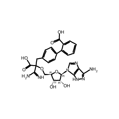 N=C(N)C(Cc1ccc(-c2ccccc2C(=O)O)cc1)(OC[C@H]1O[C@@H](n2cnc3c(N)n[nH]c32)[C@H](O)[C@@H]1O)C(=O)O